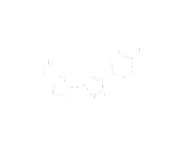 CCc1csc(-n2cc(-c3ccc(F)cc3)nn2)n1